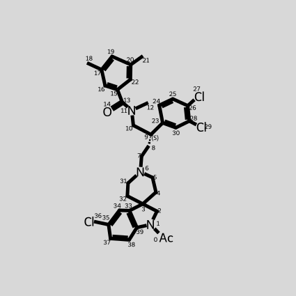 CC(=O)N1CC2(CCN(CC[C@H](CN(C)C(=O)c3cc(C)cc(C)c3)c3ccc(Cl)c(Cl)c3)CC2)c2cc(Cl)ccc21